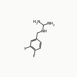 NC(N)NCc1ccc(F)c(I)c1